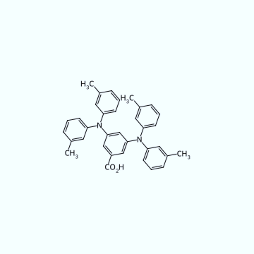 Cc1cccc(N(c2cccc(C)c2)c2cc(C(=O)O)cc(N(c3cccc(C)c3)c3cccc(C)c3)c2)c1